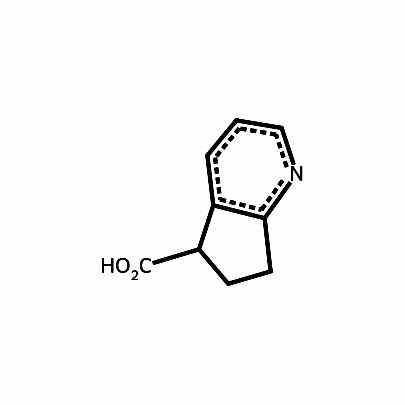 O=C(O)C1CCc2ncccc21